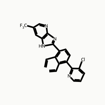 C=Cc1c(-c2nc3ncc(C(F)(F)F)cc3[nH]2)ccc(-c2ncccc2Cl)c1C=C